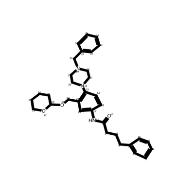 O=C(CCCc1ccccc1)Nc1ccc(N2CCN(Cc3ccccc3)CC2)c(COC2CCCCO2)c1